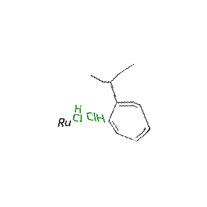 CC(C)c1ccccc1.Cl.Cl.[Ru]